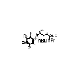 CCCCP(CC(C)CCC(CC)CCC)c1c(F)c(F)c(F)c(F)c1F